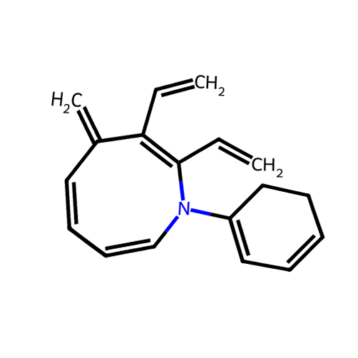 C=C/C1=C(\C=C)N(C2=CC=CCC2)/C=C\C=C/C1=C